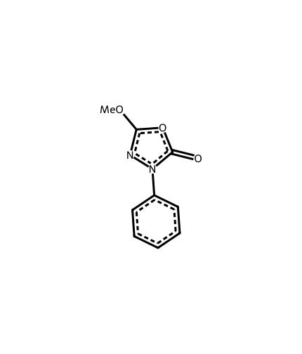 COc1nn(-c2ccccc2)c(=O)o1